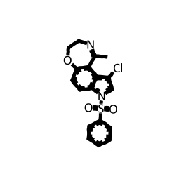 CC1=NCCOc2ccc3c(c(Cl)cn3S(=O)(=O)c3ccccc3)c21